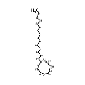 CCCCCCCCCCCCCCCC1CCCCCCCCC1